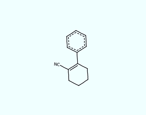 N#CC1=C(c2ccccc2)CCCC1